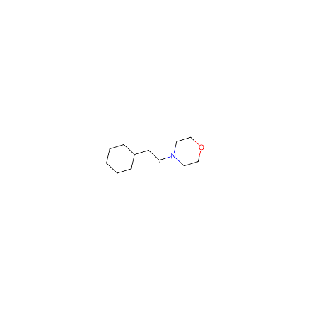 [CH](CC1CCCCC1)N1CCOCC1